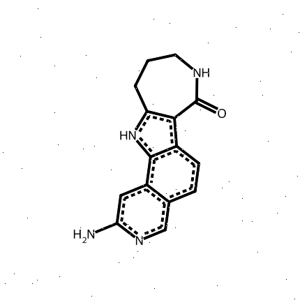 Nc1cc2c(ccc3c4c([nH]c32)CCCNC4=O)cn1